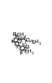 CCCOC1CCC[C@H](Nc2c(C(C)=O)cnc3ccc(-c4cc(F)c(C)c(Cl)c4)cc23)C1